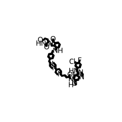 COc1cc2ncnc(Nc3ccc(F)c(Cl)c3)c2cc1NC(O)/C=C/CN1CCC(N2CCN(Cc3ccc(CNc4cccc5c4CN(C4CCC(=O)NC4=O)C5=O)cc3)CC2)CC1